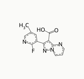 Cc1cnc(F)c(-c2nn3cccnc3c2C(=O)O)c1